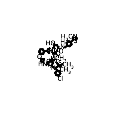 Cc1ncsc1-c1ccc(CNC(=O)[C@@H]2C[C@@H](O)CN2C(=O)[C@H](C(C)C)n2cc(-c3cccc(O[C@H]4C[C@H](NC(=O)C[C@@H]5N=C(c6ccc(Cl)cc6)c6c(sc(C)c6C)-n6c(C)nnc65)C4)c3)cn2)cc1